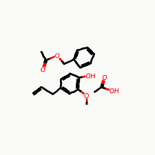 C=CCc1ccc(O)c(OC)c1.CC(=O)O.CC(=O)OCc1ccccc1